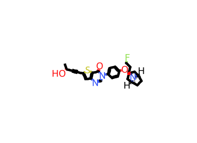 CC(O)C#Cc1cc2ncn(-c3ccc(O[C@H]4C[C@H]5CC[C@@H](C4)N5CCCF)cc3)c(=O)c2s1